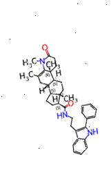 CC1=C2N(C)C(=O)CC[C@]2(C)[C@H]2CC[C@]3(C)[C@@H](C(=O)NCCc4c(-c5ccccc5)[nH]c5ccccc45)CC[C@H]3[C@@H]2C1